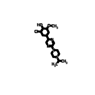 COC1CC(C2CN=C(N3CCN(C(C)C)CC3)C=N2)CC(Cl)C1O